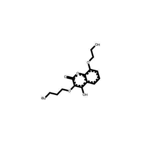 CCC(C)CCCOc1c(O)c2cccc(OCCO)c2oc1=O